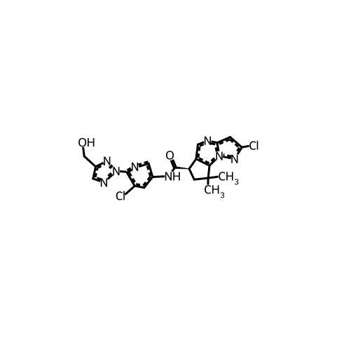 CC1(C)C[C@@H](C(=O)Nc2cnc(-n3ncc(CO)n3)c(Cl)c2)c2cnc3cc(Cl)nn3c21